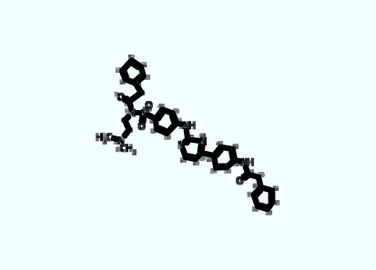 CN(C)CCN(C(=O)Cc1ccccc1)S(=O)(=O)c1ccc(Nc2nccc(-c3ccc(NC(=O)Cc4ccccc4)cc3)n2)cc1